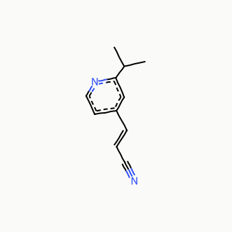 CC(C)c1cc(C=CC#N)ccn1